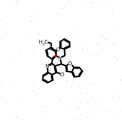 CCOC(=O)CN(Cc1ccccc1)C(c1cc2ccccc2o1)c1c(-c2ccccc2)nc2ccccc2c1Cl